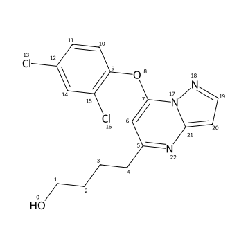 OCCCCc1cc(Oc2ccc(Cl)cc2Cl)n2nccc2n1